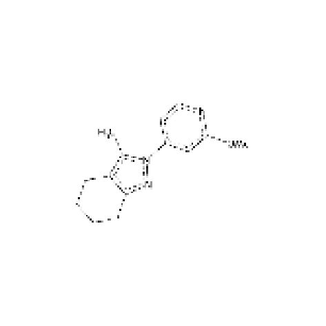 COc1cc(-n2nc3c(c2C)CCCC3)ccn1